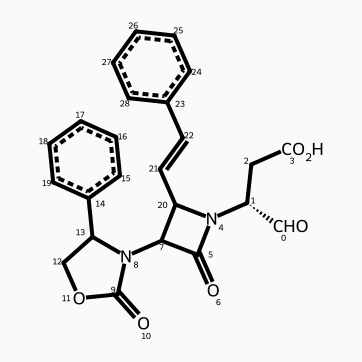 O=C[C@@H](CC(=O)O)N1C(=O)C(N2C(=O)OCC2c2ccccc2)C1/C=C/c1ccccc1